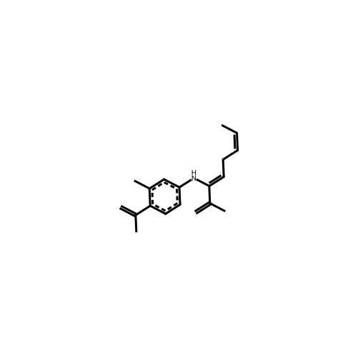 C=C(C)/C(=C/C/C=C\C)Nc1ccc(C(=C)C)c(C)c1